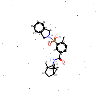 Cc1ccc(C(=O)NC2CC3CCC2(C)C3(C)C)cc1S(=O)(=O)N1Cc2ccccc2C1